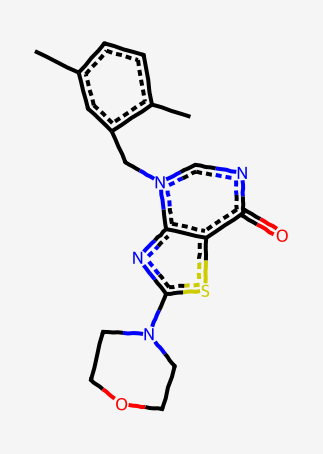 Cc1ccc(C)c(Cn2cnc(=O)c3sc(N4CCOCC4)nc32)c1